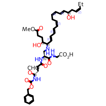 CC/C=C\C[C@H](O)/C=C/C=C\C\C=C/C=C/C=C/[C@@H](NC[C@H](NC(=O)CC[C@H](NC(=O)OCc1ccccc1)OC=O)C(=O)NCC(=O)O)[C@@H](O)CCC(=O)OC